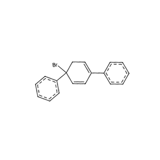 BrC1(c2ccccc2)C=CC(c2ccccc2)=CC1